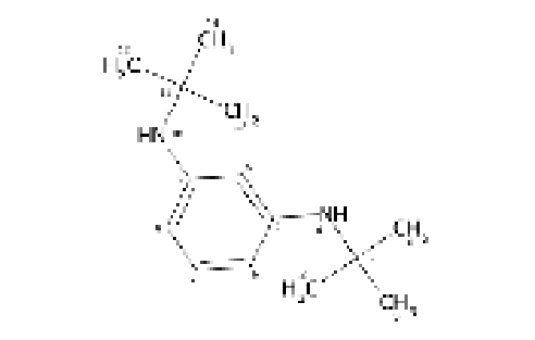 CC(C)(C)Nc1cccc(NC(C)(C)C)c1